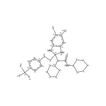 O=C(NC1CCCCC1)C(C1CCCCC1)C1(CSc2ccc(C(F)(F)F)cc2)Nc2cc(F)c(Cl)cc2N1